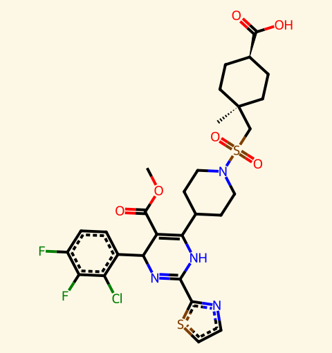 COC(=O)C1=C(C2CCN(S(=O)(=O)C[C@]3(C)CC[C@H](C(=O)O)CC3)CC2)NC(c2nccs2)=NC1c1ccc(F)c(F)c1Cl